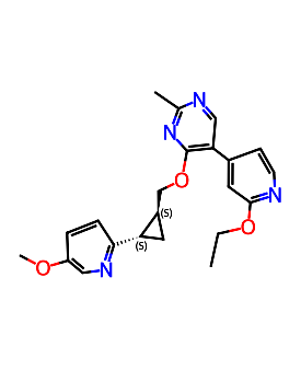 CCOc1cc(-c2cnc(C)nc2OC[C@H]2C[C@@H]2c2ccc(OC)cn2)ccn1